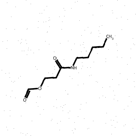 CCCCCNC(=O)CCOC=O